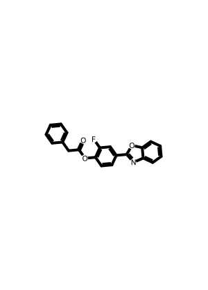 O=C(Cc1ccccc1)Oc1ccc(-c2nc3ccccc3o2)cc1F